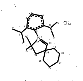 CC(C)c1cccc(C(C)C)c1[N+]1=CC2(CCCCC2)CC1(C)C.[Cl-]